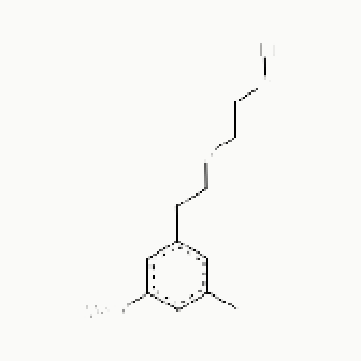 CCOCCOCCc1cc(C)cc(OC)c1